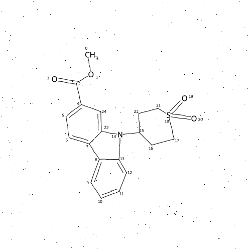 COC(=O)c1ccc2c3ccccc3n(C3CCS(=O)(=O)CC3)c2c1